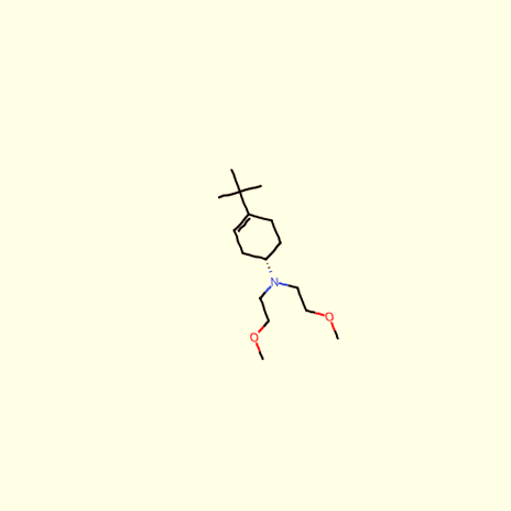 COCCN(CCOC)[C@@H]1CC=C(C(C)(C)C)CC1